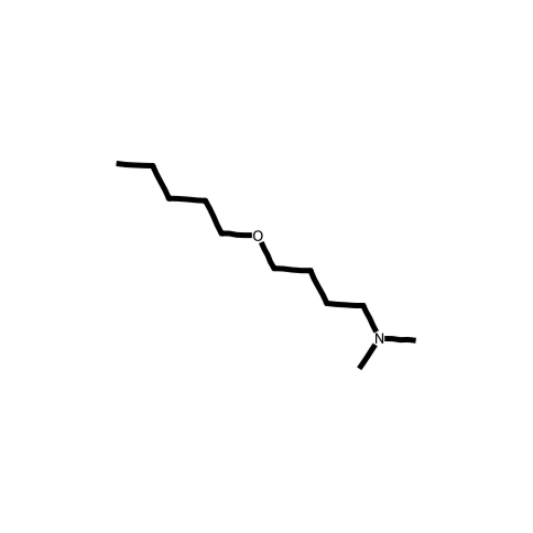 CCCCCOCCCCN(C)C